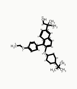 CCOc1ccc(-c2c(OC3CCC(C(C)(C)C)CC3)ccc3cc([C@@](C)(N)CO)ccc23)cc1